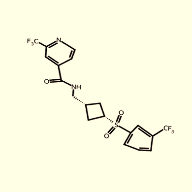 O=C(NC[C@H]1C[C@@H](S(=O)(=O)c2cccc(C(F)(F)F)c2)C1)c1ccnc(C(F)(F)F)c1